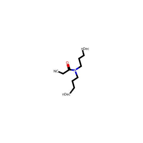 CCCCCCCCCCCCCN(CCCCCCCCCCCCC)C(=O)CC#N